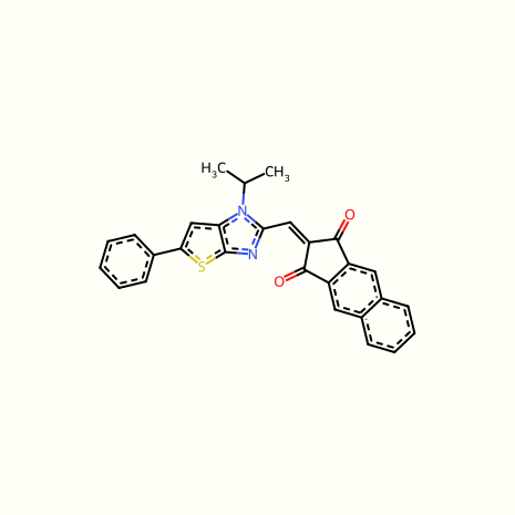 CC(C)n1c(C=C2C(=O)c3cc4ccccc4cc3C2=O)nc2sc(-c3ccccc3)cc21